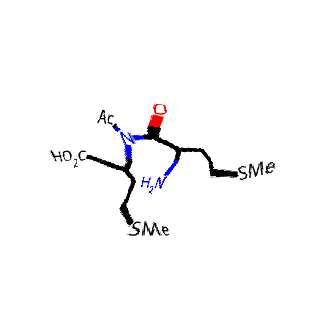 CSCCC(N)C(=O)N(C(C)=O)C(CCSC)C(=O)O